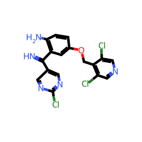 N=C(c1cnc(Cl)nc1)c1cc(OCc2c(Cl)cncc2Cl)ccc1N